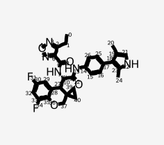 CCc1nonc1C(=O)N[C@H](C(=O)Nc1ccc(-c2c(C)c[nH]c2C)cc1)C1c2cc(F)cc(F)c2OCC12CC2